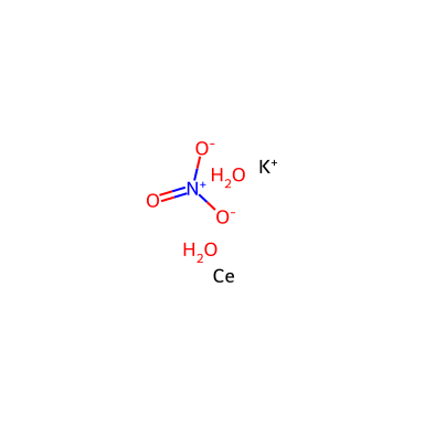 O.O.O=[N+]([O-])[O-].[Ce].[K+]